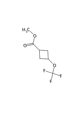 COC(=O)C1CC(OC(F)(F)F)C1